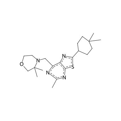 Cc1nc(CN2CCOCC2(C)C)c2nc(C3CCC(C)(C)CC3)sc2n1